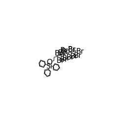 BrC(Br)(Br)C(Br)(Br)C(Br)(Br)C(Br)(Br)C(Br)(Br)C(Br)(Br)CCO[Si](c1ccccc1)(c1ccccc1)c1ccccc1